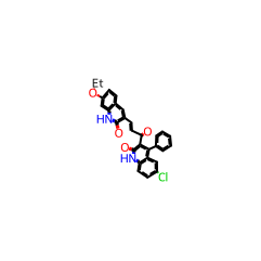 CCOc1ccc2cc(C=CC(=O)c3c(-c4ccccc4)c4cc(Cl)ccc4[nH]c3=O)c(=O)[nH]c2c1